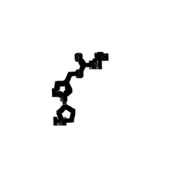 CC(C)(C)NC(=O)OCc1cnn([C@@H]2CCNC2)c1